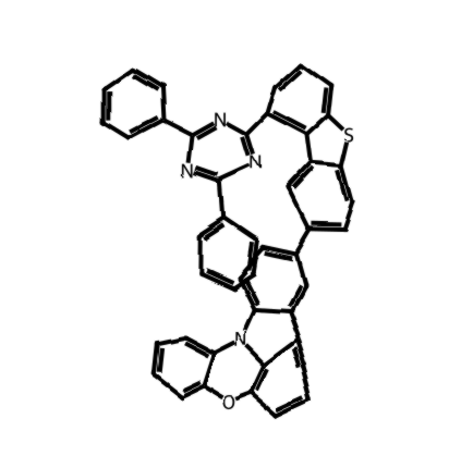 c1ccc(-c2nc(-c3ccccc3)nc(-c3cccc4sc5ccc(-c6ccc7c(c6)c6cccc8c6n7-c6ccccc6O8)cc5c34)n2)cc1